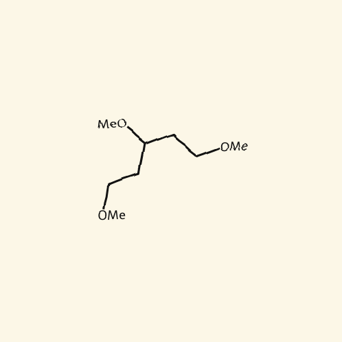 COCCC(CCOC)OC